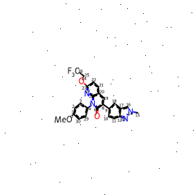 COc1ccc(-n2c(=O)c(-c3ccc4nn(C)cc4c3)cc3ccc(OCC(F)(F)F)nc32)cc1